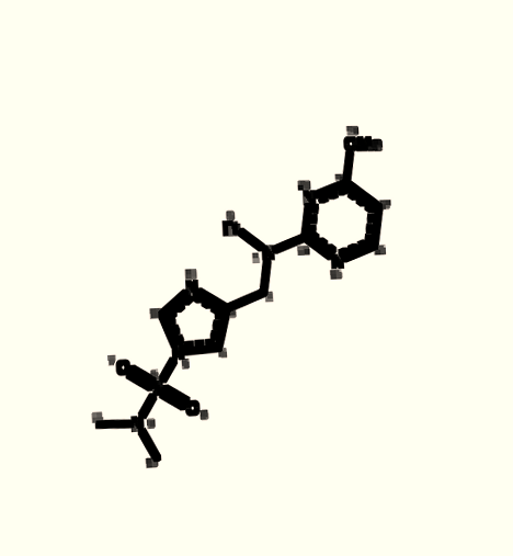 CCN(Cc1cn(S(=O)(=O)N(C)C)cn1)c1nccc(OC)n1